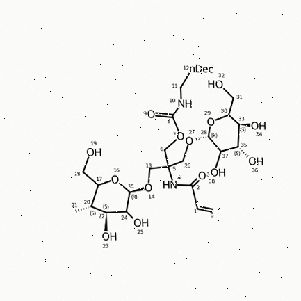 C=CC(=O)NC(COC(=O)NCCCCCCCCCCC)(CO[C@@H]1OC(CO)[C@@H](C)[C@H](O)C1O)CO[C@@H]1OC(CO)[C@@H](O)[C@H](O)C1O